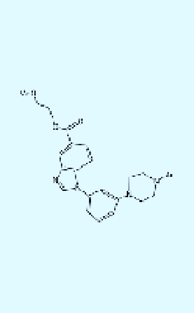 COCCOC(=O)c1ccc2c(c1)ncn2-c1cccc(N2CCN(C(C)=O)CC2)c1